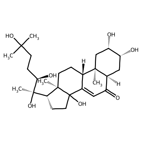 CC(C)(O)CC[C@@H](O)[C@](C)(O)[C@H]1CCC2(O)C3=CC(=O)[C@@H]4C[C@@H](O)[C@@H](O)C[C@]4(C)[C@H]3CC[C@]12C